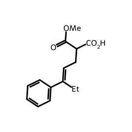 CCC(=CCC(C(=O)O)C(=O)OC)c1ccccc1